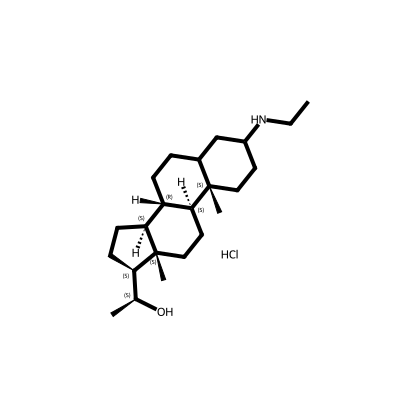 CCNC1CC[C@@]2(C)C(CC[C@H]3[C@@H]4CC[C@H]([C@H](C)O)[C@@]4(C)CC[C@@H]32)C1.Cl